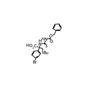 CC(C)(C)C[C@](NC(=S)NC(=O)OCc1ccccc1)(C(=O)O)c1ccc(Br)cc1